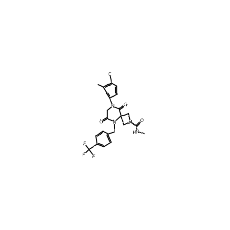 CNC(=O)N1CC2(C1)C(=O)N(c1ccc(Cl)c(C)c1)CC(=O)N2Cc1ccc(C(F)(F)F)cc1